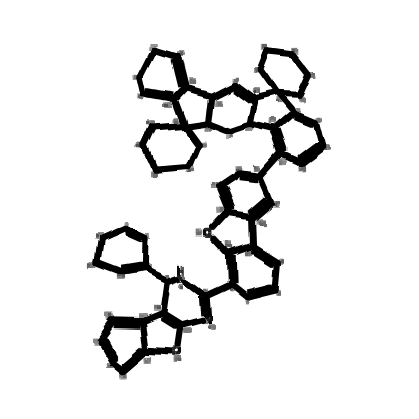 C1=CC(C2NC(c3cccc4c3oc3ccc(-c5cccc6c5C5CC7C(C=C5C65CCCCC5)C5=CCCC=C5C75CCCCC5)cc34)=Nc3oc4ccccc4c32)=CCC1